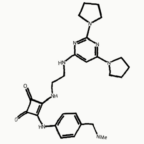 CNCc1ccc(Nc2c(NCCNc3cc(N4CCCC4)nc(N4CCCC4)n3)c(=O)c2=O)cc1